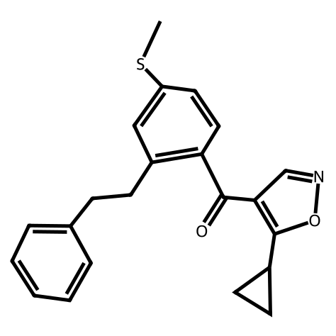 CSc1ccc(C(=O)c2cnoc2C2CC2)c(CCc2ccccc2)c1